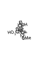 COc1ccc(-c2nc3sc4c(O)c(Cl)ccc4c3c(=O)n2CC(=O)O)c(C2CC2)c1